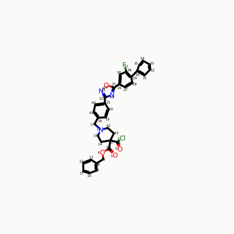 O=C(Cl)C1(C(=O)OCc2ccccc2)CCN(Cc2ccc(-c3noc(-c4ccc(-c5ccccc5)c(F)c4)n3)cc2)CC1